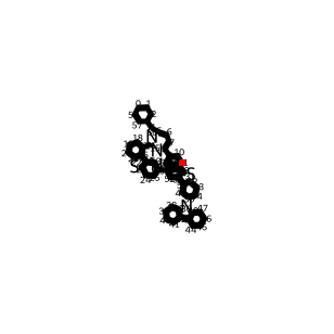 C1=CCC(C2C3=CC=C(c4ccccc4)NC(c4cccc5sc6ccc(-c7ccc8sc9ccc(-n%10c%11ccccc%11c%11ccccc%11%10)cc9c8c7)cc6c45)N32)C=C1